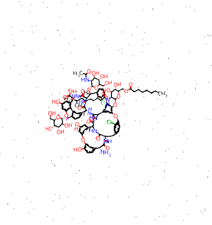 CCCCCCCC(=O)OCC1O[C@@H](Oc2c3cc4cc2Oc2ccc(cc2Cl)[C@@H](O[C@@H]2OC(CO)[C@@H](O)C(O)[C@@H]2NC(C)=O)[C@@H]2NC(=O)[C@H](NC(=O)[C@@H]4NC(=O)[C@H]4NC(=O)[C@@H](Cc5ccc(c(Cl)c5)O3)NC(=O)[C@H](N)c3ccc(O)c(c3)Oc3cc(O)cc4c3)c3ccc(I)c(c3)-c3c(O[C@H]4OC(CO)[C@@H](O)[C@@H](O)C4O)cc(O)cc3[C@@H](C(=O)O)NC2=O)C(NC(=O)CCCCCCC(C)C)[C@@H](O)[C@@H]1O